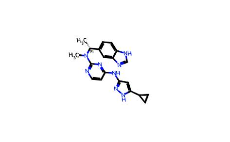 C[C@H](c1ccc2[nH]cnc2c1)N(C)c1nccc(Nc2cc(C3CC3)[nH]n2)n1